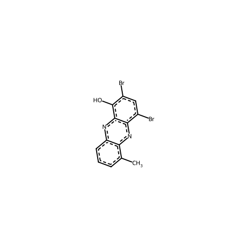 Cc1cccc2nc3c(O)c(Br)cc(Br)c3nc12